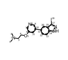 CN(C)CCOc1cncc(-c2ccc3[nH]nc(I)c3c2)c1